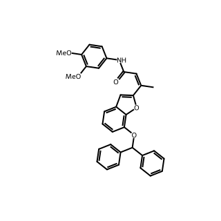 COc1ccc(NC(=O)/C=C(/C)c2cc3cccc(OC(c4ccccc4)c4ccccc4)c3o2)cc1OC